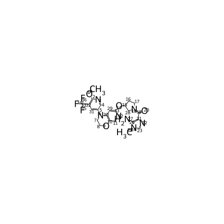 COc1ncc(N2CCOc3cnc(OC4CCN(C(=O)c5ncn(C)c5N)C4)cc32)cc1C(F)(F)F